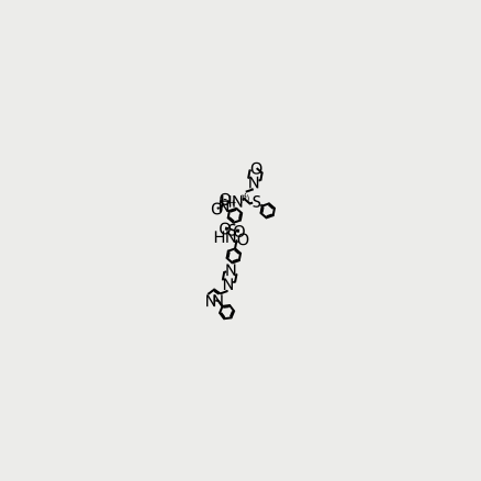 O=C(NS(=O)(=O)c1ccc(N[C@H](CCN2CCOCC2)CSc2ccccc2)c([N+](=O)[O-])c1)c1ccc(N2CCN(Cc3ccnn3-c3ccccc3)CC2)cc1